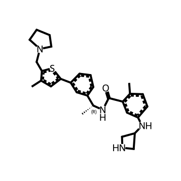 Cc1ccc(NC2CNC2)cc1C(=O)N[C@H](C)c1cccc(-c2cc(C)c(CN3CCCC3)s2)c1